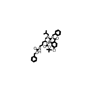 CC(C)CN(C[C@H](CCCNC(=O)OCc1ccccc1)NC(=O)OC(C)(C)C)c1nc2cc(Cl)ccc2c(=O)n1Cc1ccccc1